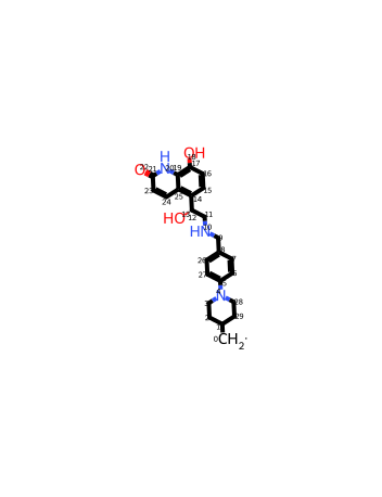 [CH2]C1CCN(c2ccc(CNC[C@H](O)c3ccc(O)c4[nH]c(=O)ccc34)cc2)CC1